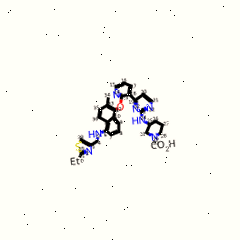 CCc1nc(CNc2cccc3c(Oc4ncccc4-c4ccnc(NC5CCCN(C(=O)O)C5)n4)c(C)ccc23)cs1